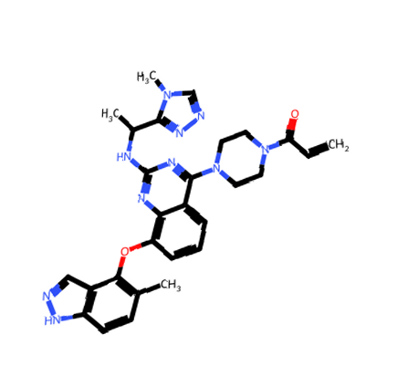 C=CC(=O)N1CCN(c2nc(NC(C)c3nncn3C)nc3c(Oc4c(C)ccc5[nH]ncc45)cccc23)CC1